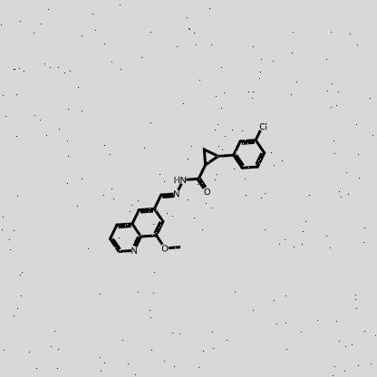 COc1cc(C=NNC(=O)C2CC2c2cccc(Cl)c2)cc2cccnc12